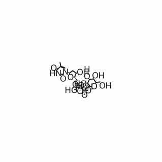 Cc1cn([C@H]2CC(O)[C@@H](COP(=O)(O)OP(=O)(O)O[C@@H]3OC(CO)[C@@H](O)C(O)C3O)O2)c(=O)[nH]c1=O